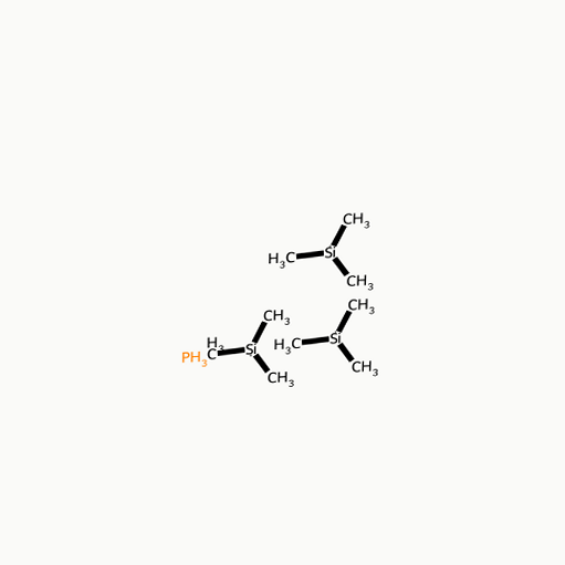 C[Si](C)C.C[Si](C)C.C[Si](C)C.P